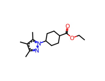 CCOC(=O)C1CCC(n2nc(C)c(C)c2C)CC1